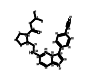 CC(C)CC(=O)N1CCCC1CNc1ccc2ncc(-c3ccc(C#N)cc3)n2n1